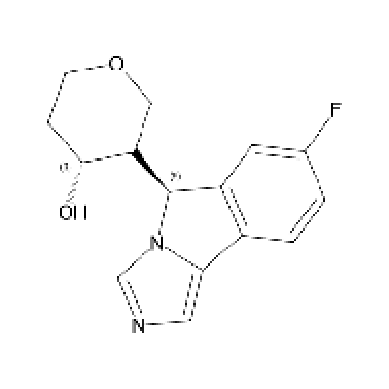 O[C@@H]1CCOCC1[C@H]1c2cc(F)ccc2-c2cncn21